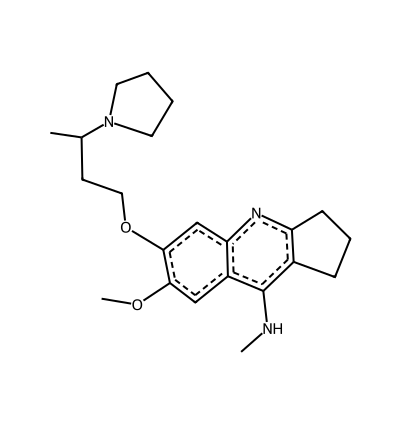 CNc1c2c(nc3cc(OCCC(C)N4CCCC4)c(OC)cc13)CCC2